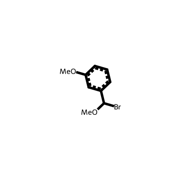 COc1cccc(C(Br)OC)c1